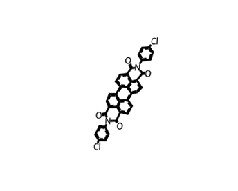 O=C1c2ccc3c4ccc5c6c(ccc(c7ccc(c2c37)C(=O)N1c1ccc(Cl)cc1)c64)C(=O)N(c1ccc(Cl)cc1)C5=O